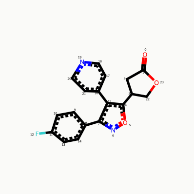 O=C1CC(c2onc(-c3ccc(F)cc3)c2-c2ccncc2)CO1